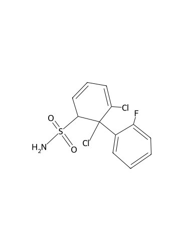 NS(=O)(=O)C1C=CC=C(Cl)C1(Cl)c1ccccc1F